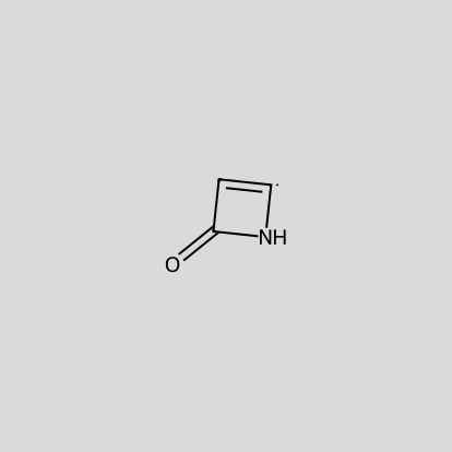 O=C1C=[C]N1